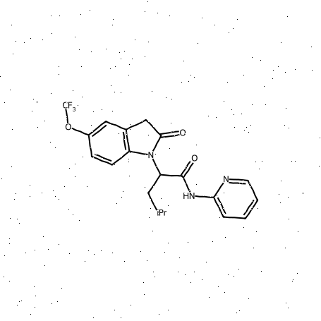 CC(C)CC(C(=O)Nc1ccccn1)N1C(=O)Cc2cc(OC(F)(F)F)ccc21